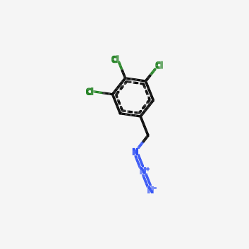 [N-]=[N+]=NCc1cc(Cl)c(Cl)c(Cl)c1